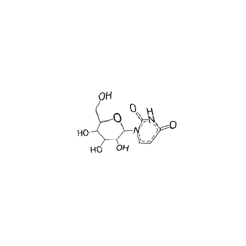 O=c1ccn(C2OC(CO)C(O)C(O)C2O)c(=O)[nH]1